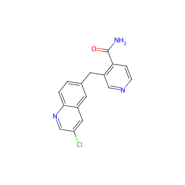 NC(=O)c1ccncc1Cc1ccc2ncc(Cl)cc2c1